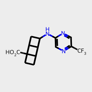 O=C(O)C12C3C4C1C1C2C3C41Nc1cnc(C(F)(F)F)cn1